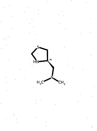 CN(C)C[C@@H]1CSCN1